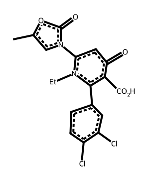 CCn1c(-n2cc(C)oc2=O)cc(=O)c(C(=O)O)c1-c1ccc(Cl)c(Cl)c1